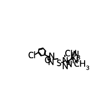 CCn1c(SCc2noc(-c3cccc(Cl)c3)n2)nnc1-c1cncn1C